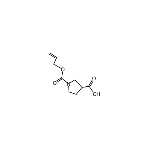 C=CCOC(=O)N1CC[C@H](C(=O)O)C1